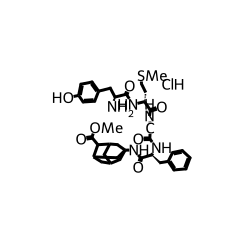 COC(=O)C1C2CC3CC1CC(NC(=O)[C@H](Cc1ccccc1)NC(=O)CNC(=O)[C@@H](CCSC)NC(=O)[C@@H](N)Cc1ccc(O)cc1)(C3)C2.Cl